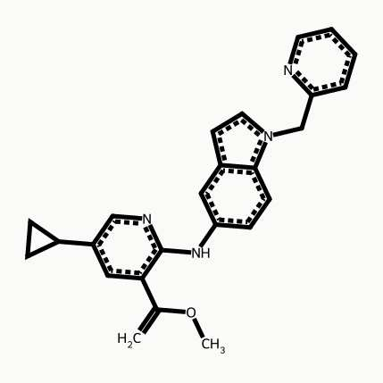 C=C(OC)c1cc(C2CC2)cnc1Nc1ccc2c(ccn2Cc2ccccn2)c1